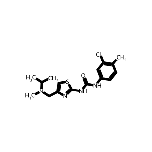 Cc1ccc(NC(=O)Nc2nc(CN(C)C(C)C)cs2)cc1Cl